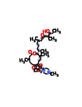 CC[C@H](O)[C@@H](C)[C@H]1O[C@@H]1C[C@H](C)/C=C/C=C(\C)[C@H]1OC(=O)C[C@H](C)CC[C@@](C)(OC)[C@@H](OC(=O)N2CCN(C)CC2)/C=C/[C@@H]1C